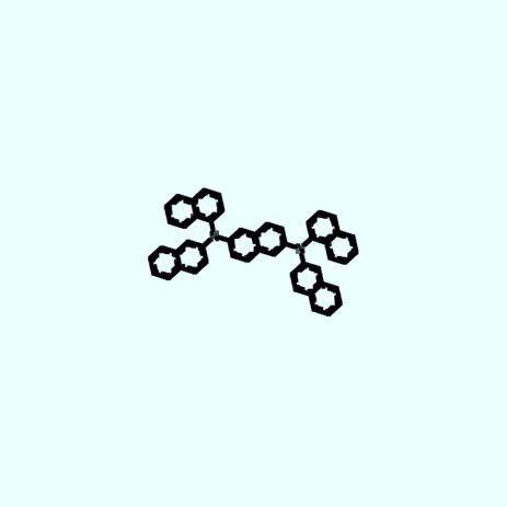 c1ccc2cc(N(c3ccc4cc(N(c5ccc6ccccc6c5)c5cccc6ccccc56)ccc4c3)c3cccc4ccccc34)ccc2c1